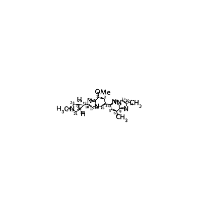 COc1cc(-c2cc(C)c3nc(C)cn3n2)cn2cc(C3[C@H]4CN(C)C[C@@H]34)nc12